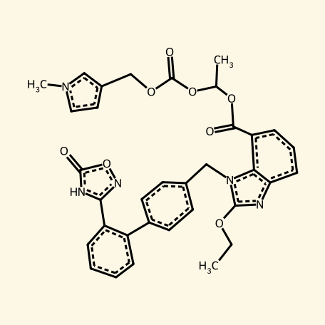 CCOc1nc2cccc(C(=O)OC(C)OC(=O)OCc3ccn(C)c3)c2n1Cc1ccc(-c2ccccc2-c2noc(=O)[nH]2)cc1